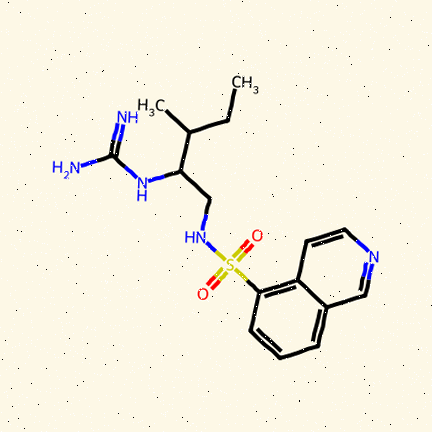 CCC(C)C(CNS(=O)(=O)c1cccc2cnccc12)NC(=N)N